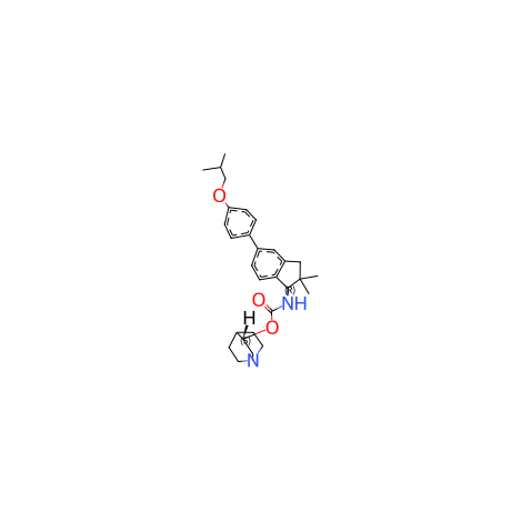 CC(C)COc1ccc(-c2ccc3c(c2)CC(C)(C)[C@H]3NC(=O)O[C@@H]2CN3CCC2CC3)cc1